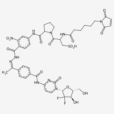 CC(=NNC(=O)c1ccc(NC(=O)C2CCCN2C(=O)C(CS(=O)(=O)O)NC(=O)CCCCCN2C(=O)C=CC2=O)cc1[N+](=O)[O-])c1ccc(C(=O)Nc2ccn([C@@H]3O[C@H](CO)[C@@H](O)C3(F)F)c(=O)n2)cc1